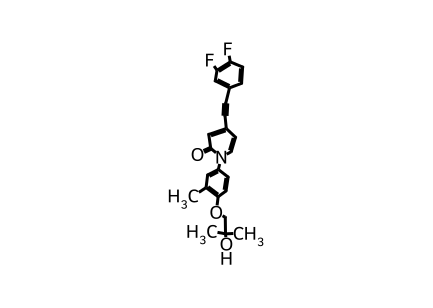 Cc1cc(-n2ccc(C#Cc3ccc(F)c(F)c3)cc2=O)ccc1OCC(C)(C)O